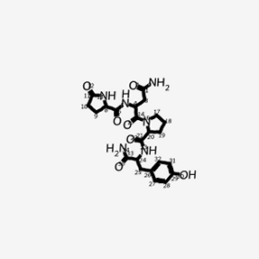 NC(=O)CC(NC(=O)C1CCC(=O)N1)C(=O)N1CCCC1C(=O)NC(Cc1ccc(O)cc1)C(N)=O